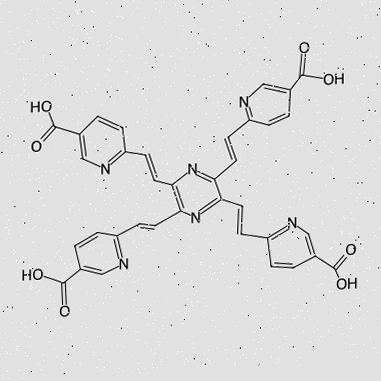 O=C(O)c1ccc(C=Cc2nc(C=Cc3ccc(C(=O)O)cn3)c(C=Cc3ccc(C(=O)O)cn3)nc2C=Cc2ccc(C(=O)O)cn2)nc1